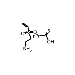 C=CS(=O)(=O)CCN.CCCC(O)=S